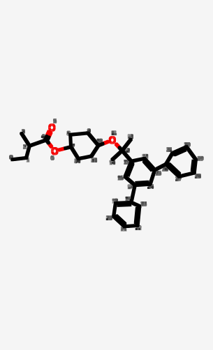 CCC(C)C(=O)OC1CCC(OC(C)(C)c2cc(-c3ccccc3)cc(-c3ccccc3)c2)CC1